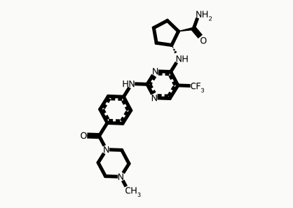 CN1CCN(C(=O)c2ccc(Nc3ncc(C(F)(F)F)c(N[C@@H]4CCC[C@H]4C(N)=O)n3)cc2)CC1